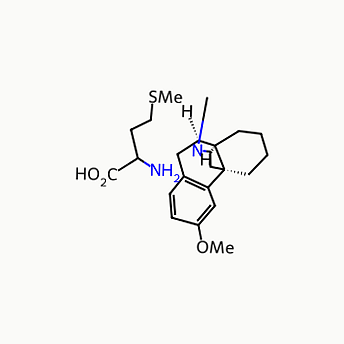 COc1ccc2c(c1)[C@]13CCCC[C@@H]1[C@H](C2)N(C)CC3.CSCCC(N)C(=O)O